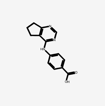 O=C(O)c1ccc(Nc2ncnc3c2CCC3)cc1